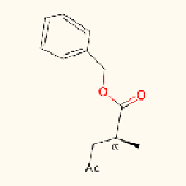 CC(=O)C[C@H](C)C(=O)OCc1ccccc1